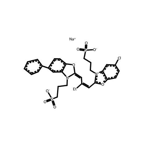 CCC(=Cc1oc2ccc(Cl)cc2[n+]1CCCS(=O)(=O)[O-])C=C1Oc2ccc(-c3ccccc3)cc2N1CCCS(=O)(=O)[O-].[Na+]